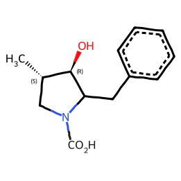 C[C@H]1CN(C(=O)O)C(Cc2ccccc2)[C@@H]1O